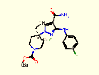 CC(C)(C)OC(=O)N1CC[C@@](CC#N)(n2cc(C(N)=O)c(Nc3ccc(F)cc3)n2)[C@H](F)C1